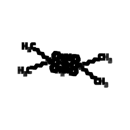 CCCCCCCN(CCCCCCC)c1c2cccc(N)c2c(C2C(O)C(c3c4c(N)cccc4c(N(CCCCCCC)CCCCCCC)c4cccc(N)c34)C2O)c2c(N)cccc12